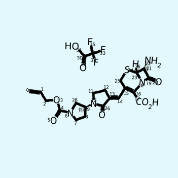 C=CCOC(=O)N1CC[C@H](N2CCC(=CC3=C(C(=O)O)N4C(=O)[C@@H](N)[C@H]4SC3)C2=O)C1.O=C(O)C(F)(F)F